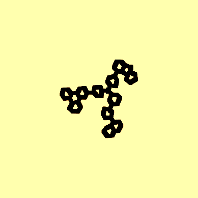 c1cc(-c2cccc(N(c3ccc(-c4ccc5c6ccccc6c6ccccc6c5c4)cc3)c3ccc(-c4cccc5oc6ccccc6c45)cc3)c2)cc(-c2cccc3ccccc23)c1